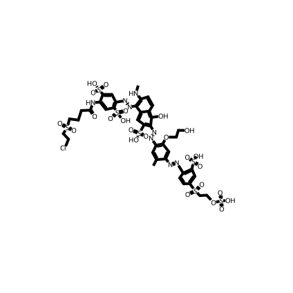 CNc1ccc2c(O)c(/N=N/c3cc(C)c(/N=N/c4ccc(S(=O)(=O)CCOS(=O)(=O)O)cc4S(=O)(=O)O)cc3OCCO)c(S(=O)(=O)O)cc2c1/N=N/c1cc(S(=O)(=O)O)c(NC(=O)CCCS(=O)(=O)CCCl)cc1S(=O)(=O)O